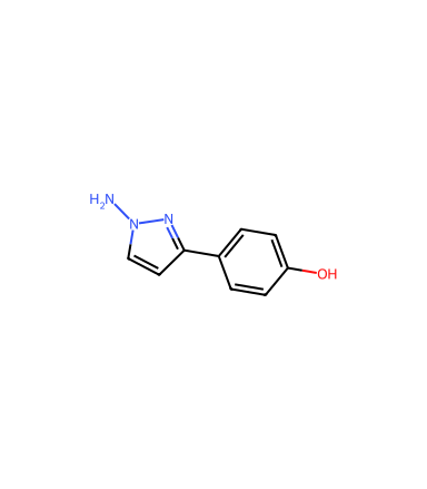 Nn1ccc(-c2ccc(O)cc2)n1